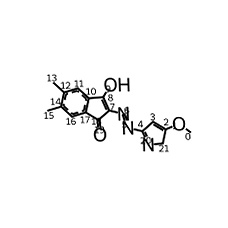 COC1=CC(N=NC2=C(O)c3cc(C)c(C)cc3C2=O)=NC1